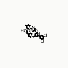 CC1CCN(c2ncc(Oc3cc(CN4CCC(CC(=O)O)CC4)cc(-c4cc(Cl)cc(Cl)c4)n3)cn2)CC1